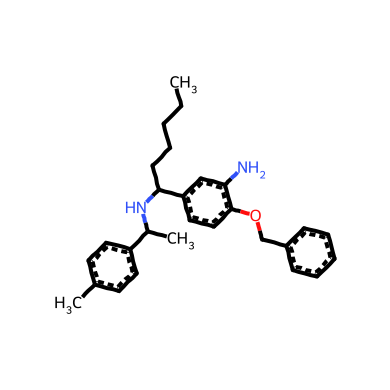 CCCCCC(NC(C)c1ccc(C)cc1)c1ccc(OCc2ccccc2)c(N)c1